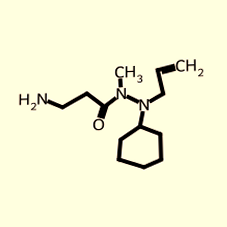 C=CCN(C1CCCCC1)N(C)C(=O)CCN